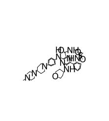 CN1CCN(C2CCN(c3ccc(Nc4nc(NC5CCOCC5)c(-c5ccccc5NS(C)(=O)=O)nc4C(N)=O)cc3)CC2)CC1